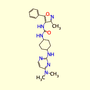 Cc1noc(-c2ccccc2)c1NC(=O)NC1CCC(Nc2nccc(N(C)C)n2)CC1